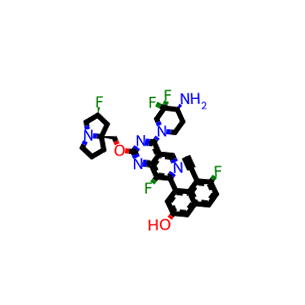 C#Cc1c(F)ccc2cc(O)cc(-c3ncc4c(N5CC[C@H](N)C(F)(F)C5)nc(OC[C@@]56CCCN5C[C@H](F)C6)nc4c3F)c12